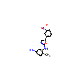 Cc1ccc(N)cc1Nc1ncc(-c2cccc([N+](=O)[O-])c2)o1